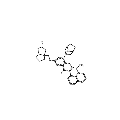 CCc1cccc2cccc(-c3c(F)cc4c(N5CC6CCC(C5)N6)nc(OC[C@@]56CCCN5C[C@H](F)C6)nc4c3F)c12